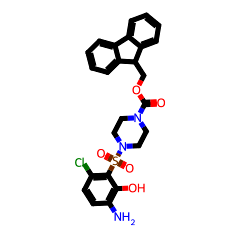 Nc1ccc(Cl)c(S(=O)(=O)N2CCN(C(=O)OCC3c4ccccc4-c4ccccc43)CC2)c1O